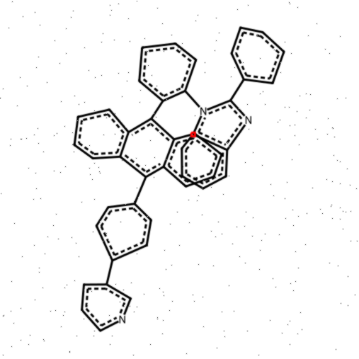 c1ccc(-c2nc3ccccc3n2-c2ccccc2-c2c3ccccc3c(-c3ccc(-c4cccnc4)cc3)c3ccccc23)cc1